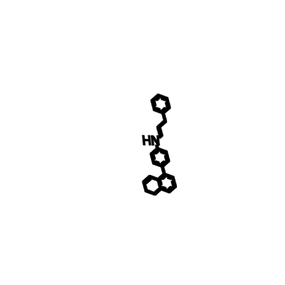 C1=Cc2c(cccc2-c2ccc(NC=CCc3ccccc3)cc2)CC1